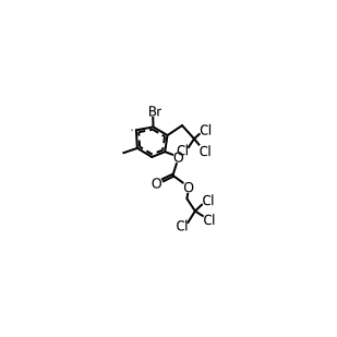 Cc1[c]c(Br)c(CC(Cl)(Cl)Cl)c(OC(=O)OCC(Cl)(Cl)Cl)c1